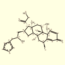 C[C@]12C[C@H](O)[C@@]3(F)[C@@H](C[C@H](F)C4=CC(=O)C=C[C@@]43C)C1C[C@@H](CN(O)Cc1ccsc1)[C@@H]2C(=O)CO